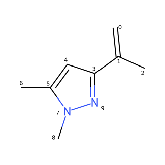 C=C(C)c1cc(C)n(C)n1